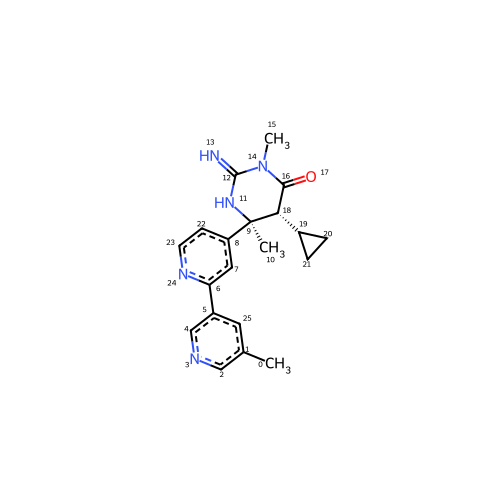 Cc1cncc(-c2cc([C@@]3(C)NC(=N)N(C)C(=O)[C@@H]3C3CC3)ccn2)c1